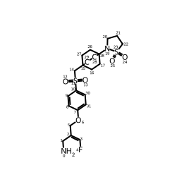 NCC(=CF)COc1ccc(S(=O)(=O)CC23CCC(N4CCCS4(=O)=O)(CC2)CC3)cc1